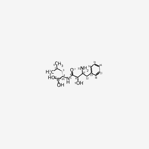 CC(C)C[C@H](NC(=O)C(O)C(N)Cc1ccccc1)B(O)O